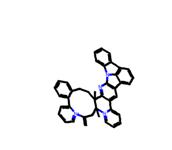 C=C1CC2(C)[n+]3ccccc3-c3cc4c5cccc6c7ccccc7n(c4nc3C2(C)CCc2ccccc2-c2cccc[n+]21)c65